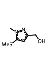 CSc1cc(CO)nn1C